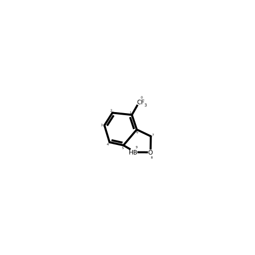 FC(F)(F)c1cccc2c1COB2